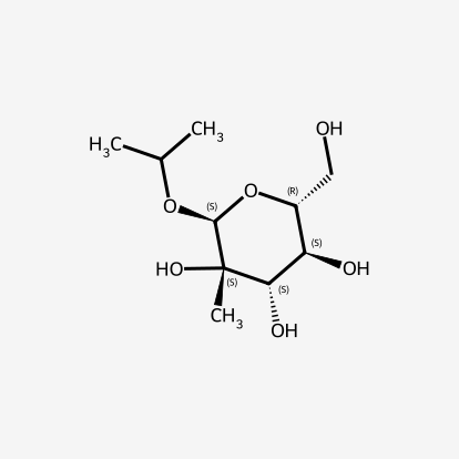 CC(C)O[C@H]1O[C@H](CO)[C@@H](O)[C@H](O)[C@]1(C)O